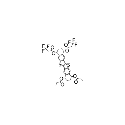 CCC(=O)OC1CCC(OC(=O)CC)c2cc3c(cc21)sc1c2cc4c(cc2sc31)C(OC(=O)CC(F)(F)F)CCC4OC(=O)CC(F)(F)F